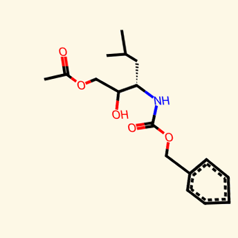 CC(=O)OCC(O)[C@H](CC(C)C)NC(=O)OCc1ccccc1